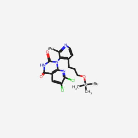 CC(C)c1nccc(CCCO[Si](C)(C)C(C)(C)C)c1-n1c(=O)[nH]c(=O)c2cc(Cl)c(Cl)nc21